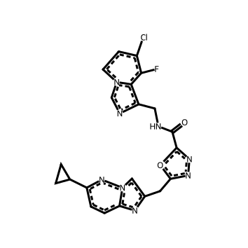 O=C(NCc1ncn2ccc(Cl)c(F)c12)c1nnc(Cc2cn3nc(C4CC4)ccc3n2)o1